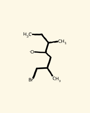 CCC(C)C([O])CC(C)CBr